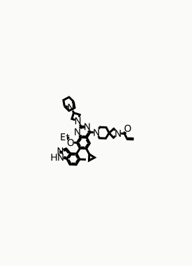 C=CC(=O)N1CC2(CCN(c3nc(N4CC(N5C6CCC5CC6)C4)nc4c(OCC)c(-c5c(C)ccc6[nH]ncc56)c(C5CC5)cc34)CC2)C1